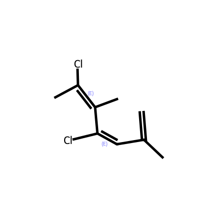 C=C(C)/C=C(Cl)\C(C)=C(/C)Cl